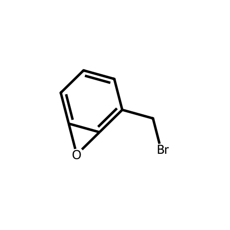 BrCc1cccc2c1O2